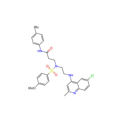 COc1ccc(S(=O)(=O)N(CCNc2cc(C)nc3ccc(Cl)cc23)CCC(=O)Nc2ccc(C(C)(C)C)cc2)cc1